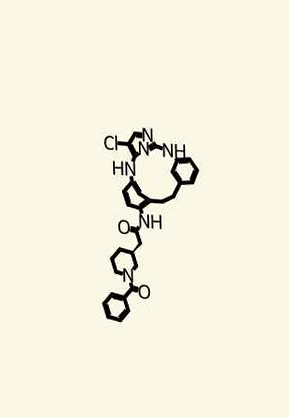 O=C(C[C@@H]1CCCN(C(=O)c2ccccc2)C1)Nc1ccc2cc1CCc1cccc(c1)Nc1ncc(Cl)c(n1)N2